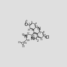 COc1ccc2nc3cc(Cl)ccc3c(C(N)CN(C)CC3CC3)c2c1